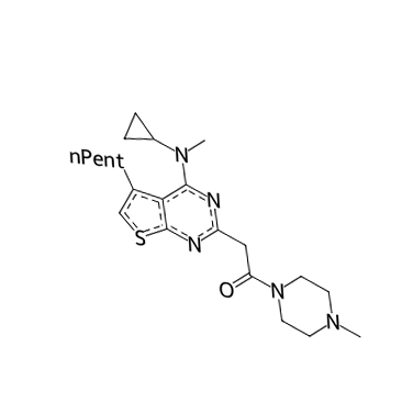 CCCCCc1csc2nc(CC(=O)N3CCN(C)CC3)nc(N(C)C3CC3)c12